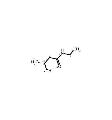 CCNC(=O)C[C@@H](C)O